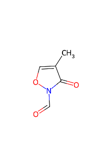 Cc1con(C=O)c1=O